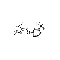 FC(F)(F)c1cccc(OCC2(CBr)CC2)c1